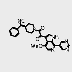 [C-]#[N+]C(=C1CCN(C(=O)C(=O)c2c[nH]c3c(-c4cncnc4)ncc(OC)c23)CC1)c1ccccc1